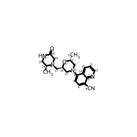 C[C@@H]1CN(c2ccc(C#N)c3ncccc23)C[C@@H](CN2CC(=O)NC[C@@H]2C)O1